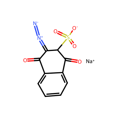 [N-]=[N+]=C1C(=O)c2ccccc2C(=O)C1S(=O)(=O)[O-].[Na+]